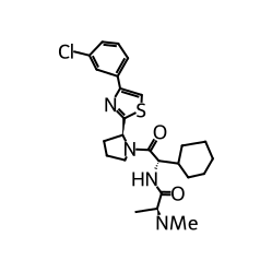 CN[C@@H](C)C(=O)N[C@H](C(=O)N1CCC[C@H]1c1nc(-c2cccc(Cl)c2)cs1)C1CCCCC1